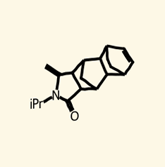 C=C1C2C3CC(C2C(=O)N1C(C)C)C1C2C=CC(CC2)C31